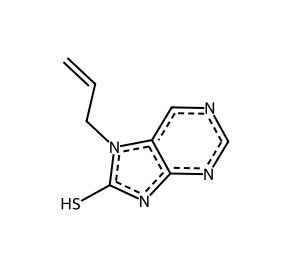 C=CCn1c(S)nc2ncncc21